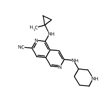 CC1(Nc2nc(C#N)cc3cnc(NC4CCCNC4)cc23)CC1